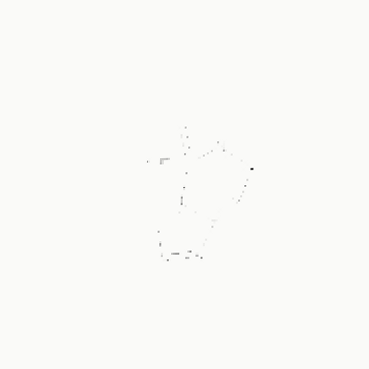 O=S1(=O)N=CC=C2N=CC=C21